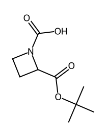 CC(C)(C)OC(=O)C1CCN1C(=O)O